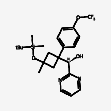 CC1(O[Si](C)(C)C(C)(C)C)CC(c2ccc(OC(F)(F)F)cc2)([C@H](O)c2ncccn2)C1